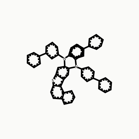 c1ccc(-c2ccc(N(c3cccc(-c4ccccc4)c3)c3cc4sc5ccc6ccccc6c5c4cc3N(c3ccccc3)c3ccc(-c4ccccc4)cc3)cc2)cc1